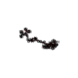 CC(=O)O[C@H]1C(=O)[C@@]2(C)[C@H]([C@H](OC(=O)c3ccccc3)[C@]3(O)C[C@H](OC(=O)[C@H](OC(=O)CCC(=O)NCCOCCOCCn4nnc5c4CC[C@H]4[C@@H](CC5)[C@H]4COC(=O)C(C)CCCCOc4cc(CN(Cc5ccccn5)Cc5ccccn5)cc(CN(Cc5ccccn5)Cc5ccccn5)c4)[C@@H](NC(=O)c4ccccc4)c4ccccc4)C(C)=C1C3(C)C)[C@]1(OC(C)=O)CO[C@@H]1C[C@@H]2O